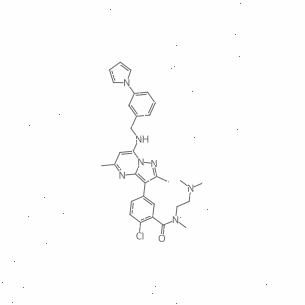 Cc1cc(NCc2cccc(-n3cccc3)c2)n2nc(C)c(-c3ccc(Cl)c(C(=O)N(C)CCN(C)C)c3)c2n1